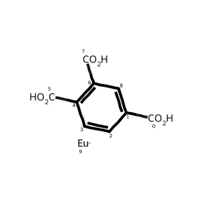 O=C(O)c1ccc(C(=O)O)c(C(=O)O)c1.[Eu]